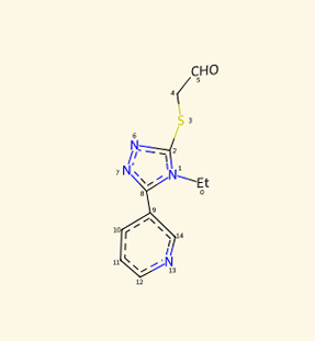 CCn1c(SCC=O)nnc1-c1cccnc1